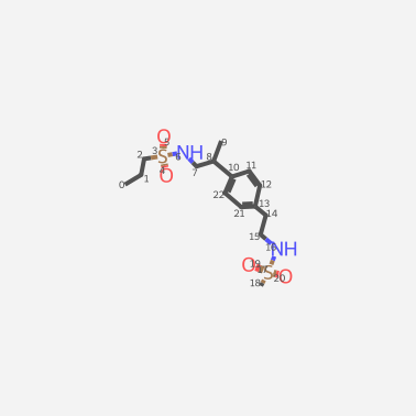 CCCS(=O)(=O)NCC(C)c1ccc(CCNS(C)(=O)=O)cc1